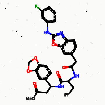 COC(=O)CC(NC(=O)C(CC(C)C)NC(=O)Cc1ccc2nc(Nc3cccc(F)c3)oc2c1)c1ccc2c(c1)OCO2